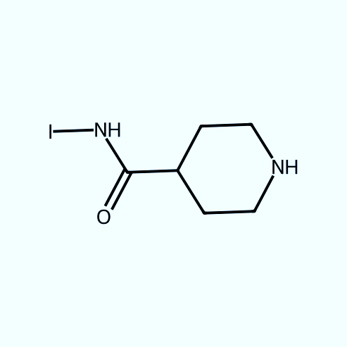 O=C(NI)C1CCNCC1